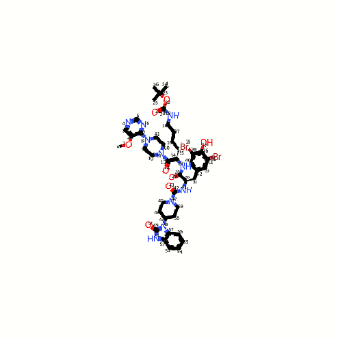 COc1cncnc1N1CCN(C(=O)[C@H](CCCCNC(=O)OC(C)(C)C)NC(=O)[C@@H](Cc2cc(Br)c(O)c(Br)c2)NC(=O)N2CCC(n3c(=O)[nH]c4ccccc43)CC2)CC1